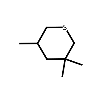 CC1CSCC(C)(C)C1